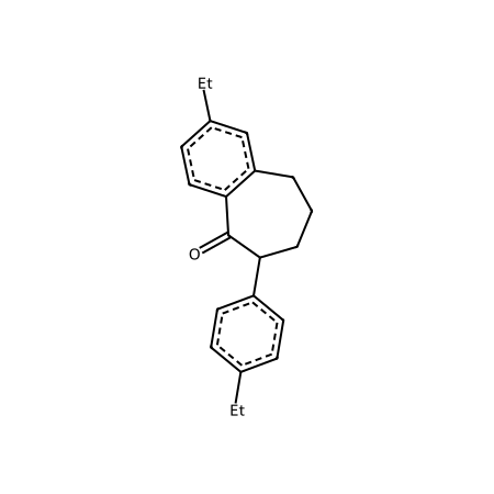 CCc1ccc(C2CCCc3cc(CC)ccc3C2=O)cc1